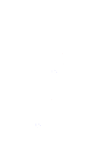 NCCOCCNC(=O)OCc1ccccc1